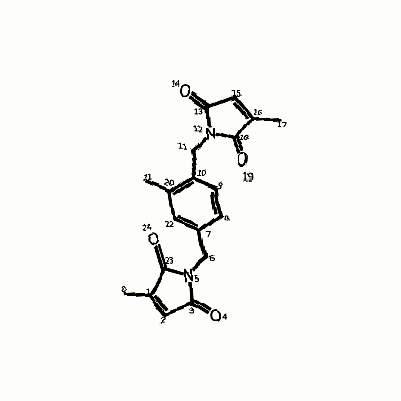 CC1=CC(=O)N(Cc2ccc(CN3C(=O)C=C(C)C3=O)c(C)c2)C1=O